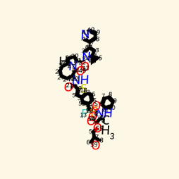 C[C@H](NP(=O)(Oc1ccccc1)[C@@H](F)c1ccc2sc(C(=O)N[C@H]3CCCC[C@H]4CC[C@@H](C(=O)N5C[C@@H](c6cccnc6)CC56CC6)N4C3=O)cc2c1)C(=O)OCC1COC1